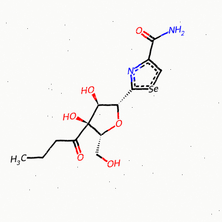 CCCC(=O)[C@@]1(O)[C@@H](CO)O[C@@H](c2nc(C(N)=O)c[se]2)[C@@H]1O